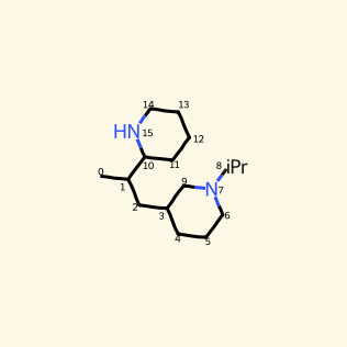 CC(CC1CCCN(C(C)C)C1)C1CCCCN1